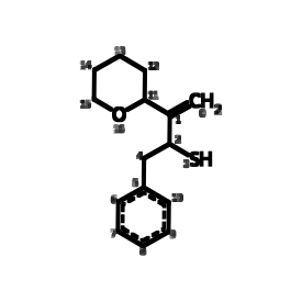 C=C(C(S)Cc1ccccc1)C1CCCCO1